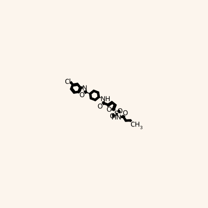 CCCC(=O)NS(=O)(=O)c1ccc(C(=O)N[C@H]2CC[C@H](c3nc4cc(Cl)ccc4o3)CC2)o1